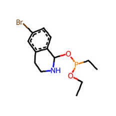 CCOP(CC)OC1NCCc2cc(Br)ccc21